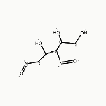 O=NCC(O)C(N=O)C(O)CO